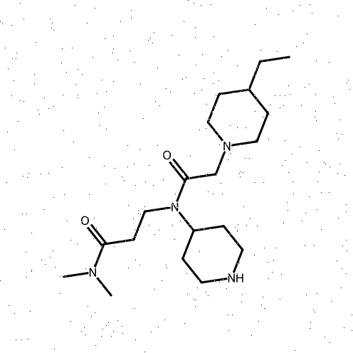 CCC1CCN(CC(=O)N(CCC(=O)N(C)C)C2CCNCC2)CC1